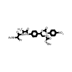 CC(=O)NC(C(=O)NC(C)C(=O)Nc1ccc(C(CNC(=O)OC(C)(C)C)OC(=O)Oc2ccc([N+](=O)[O-])cc2)cc1)C(C)C